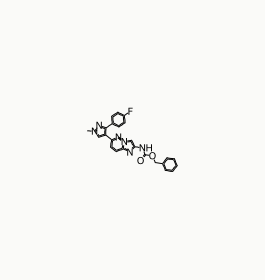 Cn1cc(-c2ccc3nc(NC(=O)OCc4ccccc4)cn3n2)c(-c2ccc(F)cc2)n1